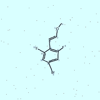 COC=Cc1c(F)cc(Br)cc1F